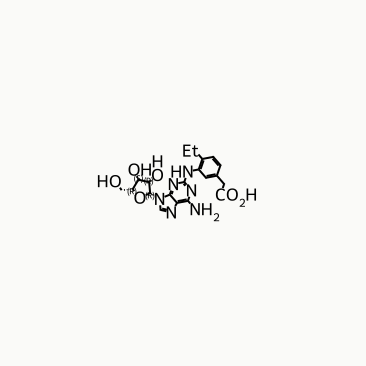 CCc1ccc(CC(=O)O)cc1Nc1nc(N)c2ncn([C@@H]3O[C@H](CO)[C@@H](O)[C@H]3O)c2n1